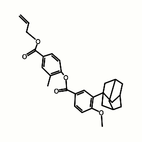 C=CCOC(=O)c1ccc(OC(=O)c2ccc(OC)c(C34CC5CC(CC(C5)C3)C4)c2)c(C)c1